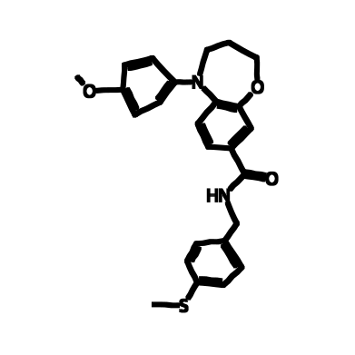 COc1ccc(N2CCCOc3cc(C(=O)NCc4ccc(SC)cc4)ccc32)cc1